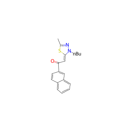 CCCCN1N=C(C)SC1=CC(=O)c1ccc2ccccc2c1